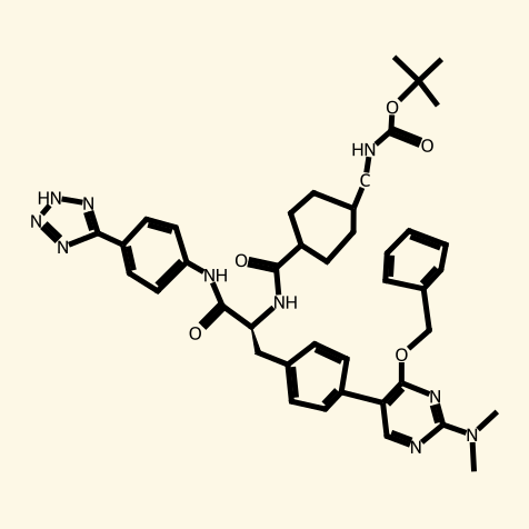 CN(C)c1ncc(-c2ccc(C[C@H](NC(=O)C3CCC(CNC(=O)OC(C)(C)C)CC3)C(=O)Nc3ccc(-c4nn[nH]n4)cc3)cc2)c(OCc2ccccc2)n1